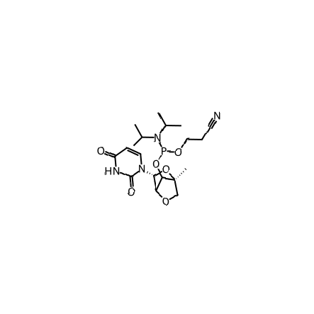 CC(C)N(C(C)C)P(OCCC#N)OC1C2OC[C@]1(C)O[C@H]2n1ccc(=O)[nH]c1=O